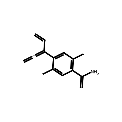 C=C=C(C=C)c1cc(C)c(C(=C)N)cc1C